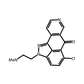 CNCCn1nc2c3c(c(Cl)ccc31)C(=O)c1cnccc1-2